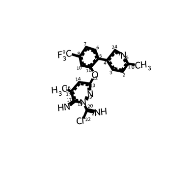 Cc1ccc(-c2ccc(C(F)(F)F)cc2Oc2cc(C)c(=N)n(C(=N)Cl)n2)cn1